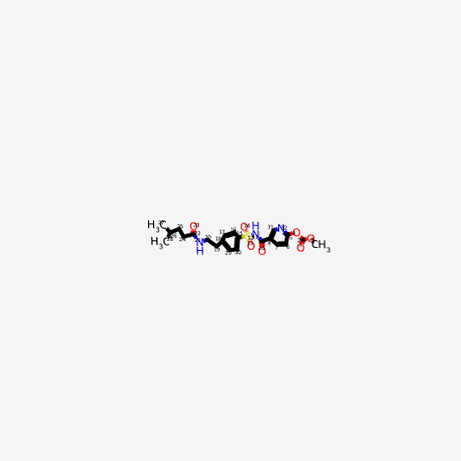 COC(=O)Oc1ccc(C(=O)NS(=O)(=O)c2ccc(CCNC(=O)CCC(C)C)cc2)cn1